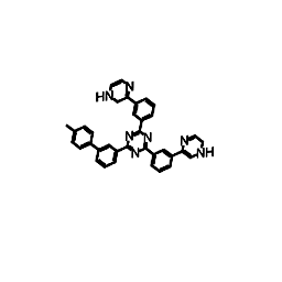 Cc1ccc(-c2cccc(-c3nc(-c4cccc(C5=CNCC=N5)c4)nc(-c4cccc(C5=NC=CNC5)c4)n3)c2)cc1